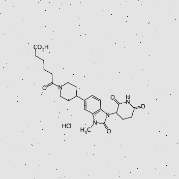 Cl.Cn1c(=O)n(C2CCC(=O)NC2=O)c2ccc(C3CCN(C(=O)CCCCC(=O)O)CC3)cc21